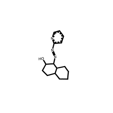 OC1CCC2CCCCC2C1N=Nc1ccccn1